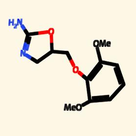 COc1cccc(OC)c1OCC1CN=C(N)O1